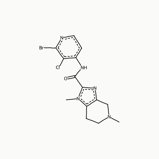 CN1CCc2c(nc(C(=O)Nc3ccnc(Br)c3Cl)n2C)C1